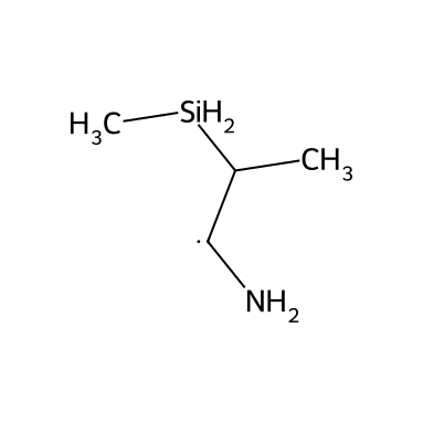 C[SiH2]C(C)[CH]N